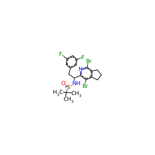 CC(C)(C)[S@+]([O-])NC(Cc1cc(F)cc(F)c1)c1nc(Br)c2c(c1Br)CCC2